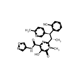 Cc1ccc([C@@H](c2ccccc2C#N)[C@H](C)c2nc(C(=O)Nc3cnoc3)c(O)c(=O)n2C)cn1